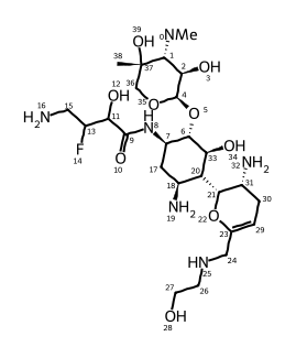 CN[C@@H]1[C@@H](O)[C@@H](O[C@H]2[C@H](NC(=O)C(O)C(F)CN)C[C@H](N)C([C@H]3OC(CNCCO)=CC[C@H]3N)[C@@H]2O)OC[C@]1(C)O